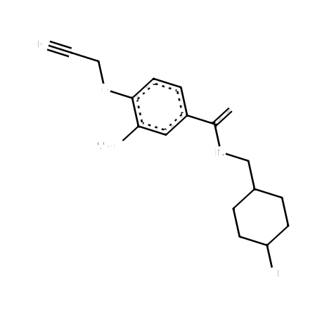 C#CCOc1ccc(C(=O)NCC2CCC(C)CC2)cc1OC